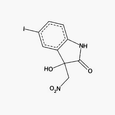 O=C1Nc2ccc(I)cc2C1(O)C[N+](=O)[O-]